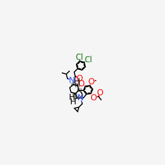 COc1cc(OC(C)=O)c2c3c1O[C@H]1[C@@H](N(CC(C)C)C(=O)Cc4ccc(Cl)c(Cl)c4)CC[C@H]4[C@@H](C2)N(CC2CC2)CC[C@@]341